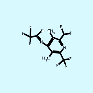 Cc1c(C(F)F)nc(C(F)(F)F)c(C)c1N=C(Cl)C(F)(F)F